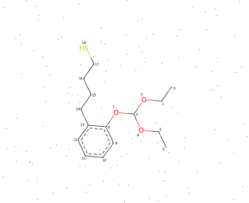 CCOC(OCC)Oc1ccccc1CCCCS